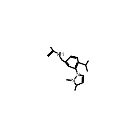 C=C(C)NCc1ccc(C(C)C)c(N2C=CC(C)N2C)c1